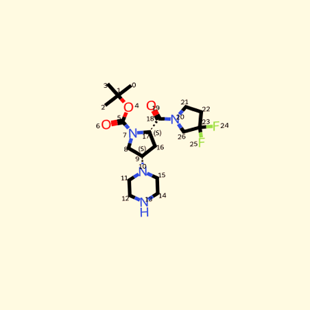 CC(C)(C)OC(=O)N1C[C@@H](N2CCNCC2)C[C@H]1C(=O)N1CCC(F)(F)C1